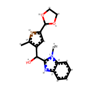 CCCn1c(C(O)c2cc(C3OCCO3)sc2C)nc2ccccc21